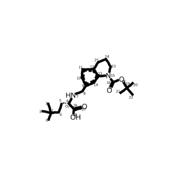 CC(C)(C)CC[C@H](NCc1ccc2c(c1)N(C(=O)OC(C)(C)C)CCC2)C(=O)O